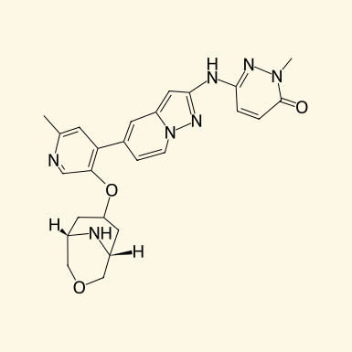 Cc1cc(-c2ccn3nc(Nc4ccc(=O)n(C)n4)cc3c2)c(OC2C[C@H]3COC[C@@H](C2)N3)cn1